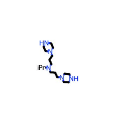 CC(C)N(CCCN1CCNCC1)CCCN1CCNCC1